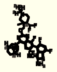 [2H]C([2H])([2H])N1CC[C@H](C(F)F)[C@](C)(COc2nc(N3C[C@H]4CC[C@@H](C3)N4)c3cc(C(F)(F)F)c(-c4c(F)cc(F)c5sc(N)c(C#N)c45)c(F)c3n2)C1